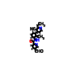 C=Cc1nccc(-c2cccc(NC(=O)c3ccc(C=O)cn3)c2C)c1C#N